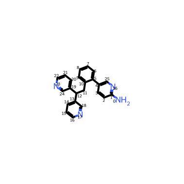 Nc1ccc(-c2ccccc2CC(c2cccnc2)c2cccnc2)cn1